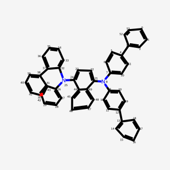 c1ccc(-c2ccc(N(c3ccc(-c4ccccc4)cc3)c3ccc(N(c4ccccc4)c4ccccc4-c4ccccc4)c4ccccc34)cc2)cc1